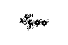 COC(=O)c1cc(N(C(=O)OC(C)(C)C)C2CCNC2)cnc1Oc1ccc(Oc2cccc(F)c2)cc1